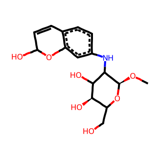 CO[C@H]1OC(CO)[C@@H](O)C(O)C1Nc1ccc2c(c1)OC(O)C=C2